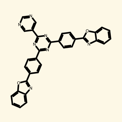 c1ccc2oc(-c3ccc(-c4nc(-c5ccc(-c6nc7ccccc7o6)cc5)nc(-c5cncnc5)n4)cc3)nc2c1